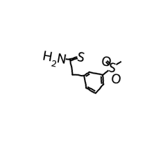 CS(=O)(=O)c1cccc(CC(N)=S)c1